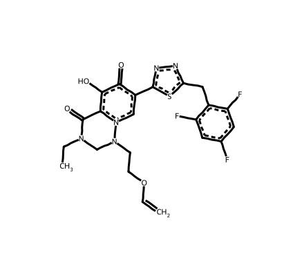 C=COCCN1CN(CC)C(=O)c2c(O)c(=O)c(-c3nnc(Cc4c(F)cc(F)cc4F)s3)cn21